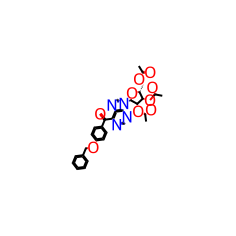 CC(=O)OC[C@H]1O[C@@H](n2cnc3c(C(=O)c4ccc(OCc5ccccc5)cc4)ncnc32)[C@H](OC(C)=O)[C@@H]1OC(C)=O